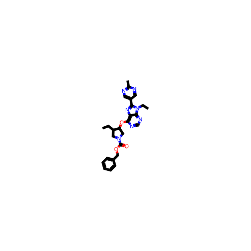 CCC1CN(C(=O)OCc2ccccc2)CC1Oc1ncnc2c1nc(-c1cnc(C)nc1)n2CC